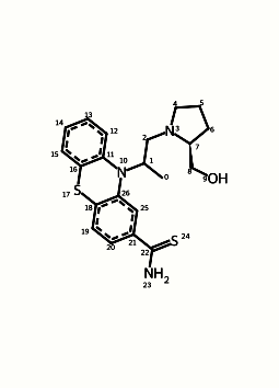 CC(CN1CCC[C@H]1CO)N1c2ccccc2Sc2ccc(C(N)=S)cc21